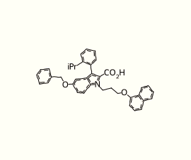 CC(C)c1ccccc1-c1c(C(=O)O)n(CCCOc2cccc3ccccc23)c2ccc(OCc3ccccc3)cc12